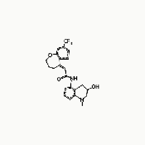 CN1CC(O)Cc2c(NC(=O)C=C3CCCOc4cc(C(F)(F)F)ccc43)cccc21